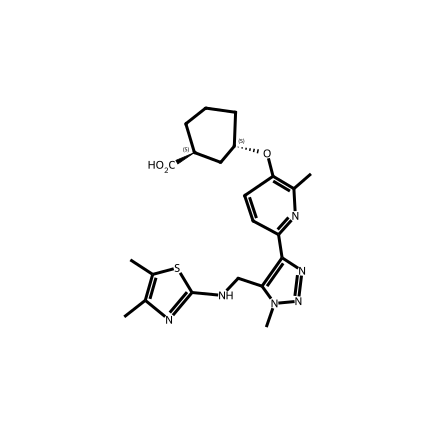 Cc1nc(-c2nnn(C)c2CNc2nc(C)c(C)s2)ccc1O[C@H]1CCC[C@H](C(=O)O)C1